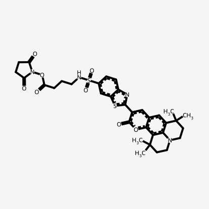 CC1(C)CCN2CCC(C)(C)c3c2c1cc1cc(-c2nc4ccc(S(=O)(=O)NCCCC(=O)ON5C(=O)CCC5=O)cc4s2)c(=O)oc31